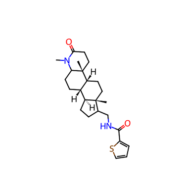 CN1C(=O)CC[C@@]2(C)C1CC[C@@H]1[C@H]2CC[C@]2(C)C(CNC(=O)c3cccs3)CC[C@@H]12